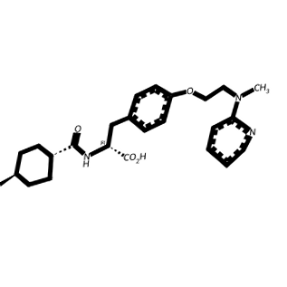 CC(C)[C@H]1CC[C@H](C(=O)N[C@H](Cc2ccc(OCCN(C)c3ccccn3)cc2)C(=O)O)CC1